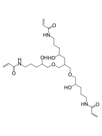 C=CC(=O)NCCCC(O)COCC(COCC(O)CCCNC(=O)C=C)CC(O)CCCNC(=O)C=C